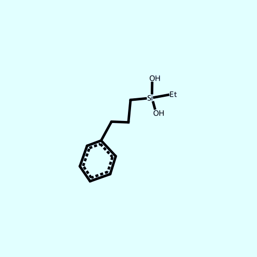 CC[Si](O)(O)CCCc1ccccc1